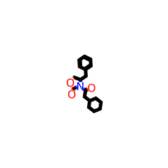 O=C(CC1CCCCC1)N1C(=O)OCC1Cc1ccccc1